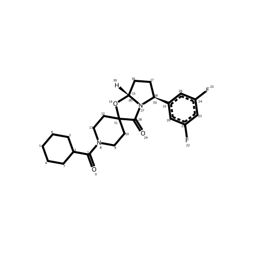 O=C(C1CCCCC1)N1CCC2(CC1)O[C@@H]1CC[C@@H](c3cc(F)cc(F)c3)N1C2=O